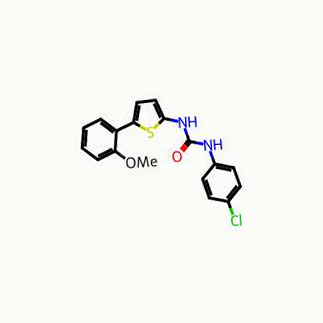 COc1ccccc1-c1ccc(NC(=O)Nc2ccc(Cl)cc2)s1